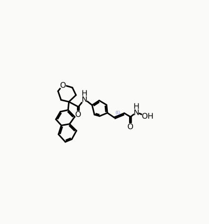 O=C(/C=C/c1ccc(NC(=O)C2(c3ccc4ccccc4c3)CCOCC2)cc1)NO